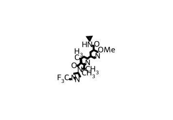 COC1N=CC(C2CC(C)=C3C(=O)N(C4C=NN(CC(F)(F)F)C4)C(C)(C)C3=N2)CC1C(=O)NC1CC1